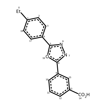 CCc1ccc(-c2nnc(-c3cccc(C(=O)O)c3)o2)cc1